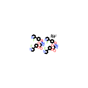 O=C([O-])c1nnn(Oc2ccc(-c3cccnc3F)cc2)c1Oc1ccc(-c2cccnc2F)cc1.O=C([O-])c1nnn(Oc2ccc(-c3cccnc3F)cc2)c1Oc1ccc(-c2cccnc2F)cc1.[Na+].[Na+]